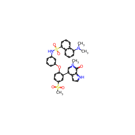 CN(C)c1cccc2c(S(=O)(=O)Nc3cccc(Oc4ccc(S(C)(=O)=O)cc4-c4cn(C)c(=O)c5[nH]ccc45)c3)cccc12